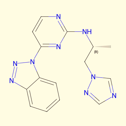 C[C@H](Cn1cncn1)Nc1nccc(-n2nnc3ccccc32)n1